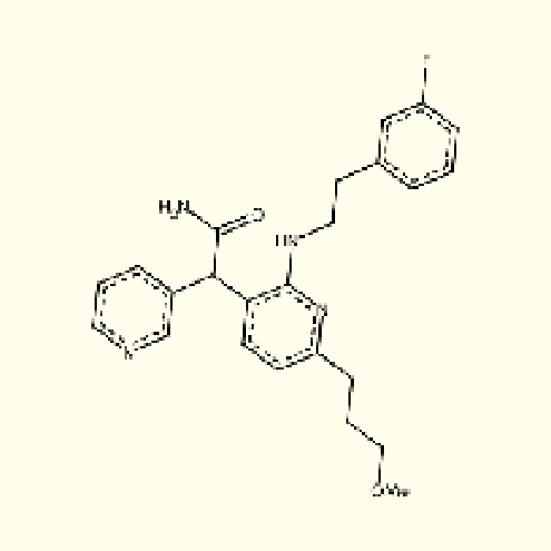 COCCCc1ccc(C(C(N)=O)c2cccnc2)c(NCCc2cccc(F)c2)n1